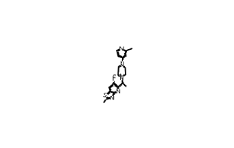 Cc1cc(N2CCN(C(C)c3nc4nc(C)sc4cc3F)CC2)ccn1